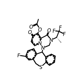 CC(=O)Oc1c2n(ccc1=O)N(C1c3ccc(F)cc3CSc3ccccc31)CN([C@@H](C)C(F)(F)F)C2=O